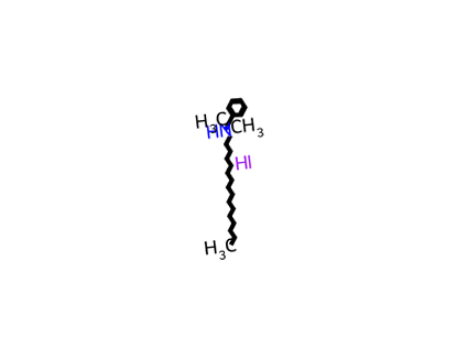 CCCCCCCCCCCCCCCCNC(C)(C)c1ccccc1.I